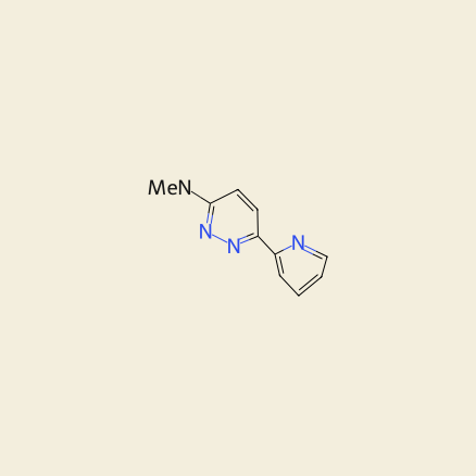 CNc1ccc(-c2ccccn2)nn1